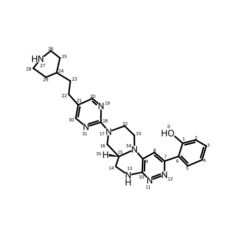 Oc1ccccc1-c1cc2c(nn1)NC[C@@H]1CN(c3ncc(CCC4CCNCC4)cn3)CCN21